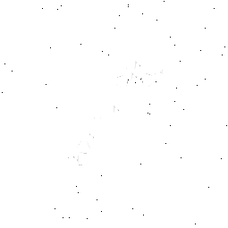 O=C1CCCC(=O)N1c1c(F)cc(N2CCC3(CC2)CC(CN2CCC(c4ccc5c(c4)-n4c(nc(=O)c6c(Br)cccc64)C54CCCCC4)CC2)CO3)cc1F